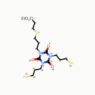 CCOC(=O)CCSCCCn1c(=O)n(CCCS)c(=O)n(CCCS)c1=O